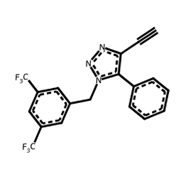 C#Cc1nnn(Cc2cc(C(F)(F)F)cc(C(F)(F)F)c2)c1-c1ccccc1